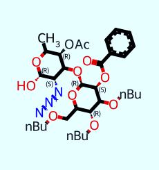 CCCCOCC1O[C@@H](OC2[C@H](OC(C)=O)C(C)O[C@@H](O)[C@H]2N=[N+]=[N-])[C@@H](OC(=O)c2ccccc2)C(OCCCC)[C@@H]1OCCCC